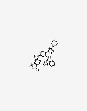 CC1(C)OC(=O)c2cnc(Nc3cc(N[C@H](CO)c4ccccc4)c(-c4nc(N5CCOCC5)no4)cn3)nc21